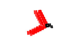 C.O.O.O.O.O.O.O.O.O.O.O.O